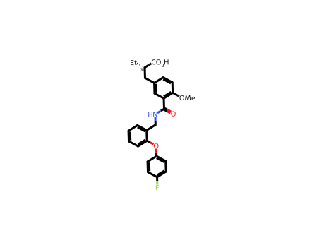 CC[C@@H](Cc1ccc(OC)c(C(=O)NCc2ccccc2Oc2ccc(F)cc2)c1)C(=O)O